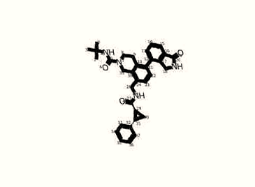 CC(C)(C)NC(=O)N1CCc2c(-c3cccc4c3CNC4=O)ccc(CNC(=O)[C@H]3C[C@@H]3c3ccccc3)c2C1